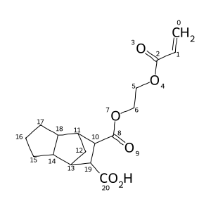 C=CC(=O)OCCOC(=O)C1C2CC(C3CCCC32)C1C(=O)O